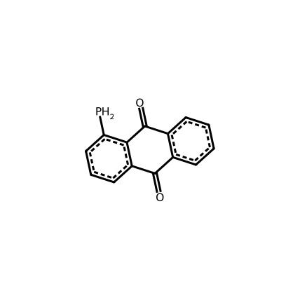 O=C1c2ccccc2C(=O)c2c(P)cccc21